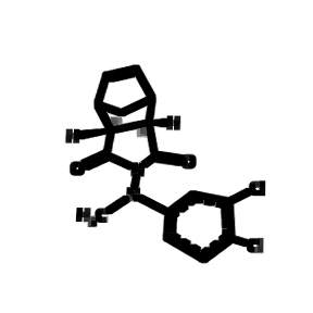 CN(c1ccc(Cl)c(Cl)c1)N1C(=O)[C@@H]2C3C=CC(C3)[C@@H]2C1=O